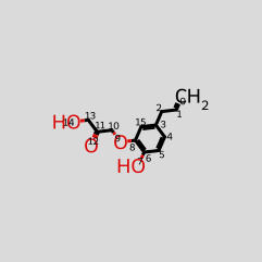 C=CCc1ccc(O)c(OCC(=O)CO)c1